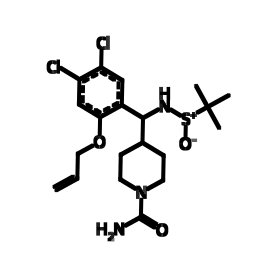 C=CCOc1cc(Cl)c(Cl)cc1C(N[S+]([O-])C(C)(C)C)C1CCN(C(N)=O)CC1